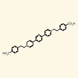 O=C(O)c1ccc(CCN2C=CC(c3ccc(-c4cc[n+](CCc5ccc(C(=O)O)cc5)cc4)nc3)=CC2)cc1